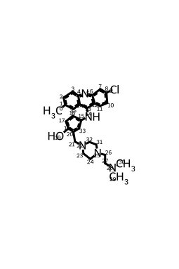 Cc1ccc2nc3cc(Cl)ccc3c(Nc3ccc(O)c(CN4CCN(CCN(C)C)CC4)c3)c2c1